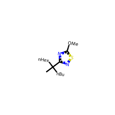 CCCCCCC(C)(CCCC)c1nsc(OC)n1